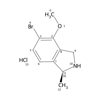 COc1c(Br)ccc2c1CN[C@H]2C.Cl